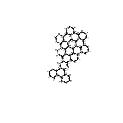 C1=Cc2c3c4c5c(c6nc7c8cccnc8c8ncccc8c7nc6c6ccc7c8cccc9c%10cccc%11c%12cccc%13c(c2c2c4c(c7c65)c(c98)c(c%11%10)c2c%13%12)C1)=CC3